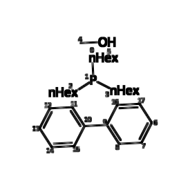 CCCCCCP(CCCCCC)CCCCCC.CO.c1ccc(-c2ccccc2)cc1